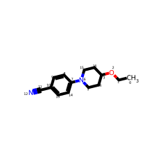 CCOC1CCN(c2ccc(C#N)cc2)CC1